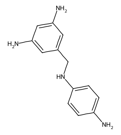 Nc1ccc(NCc2cc(N)cc(N)c2)cc1